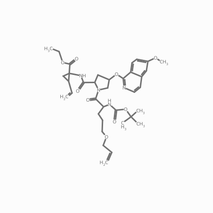 C=CCOCCCC(NC(=O)OC(C)(C)C)C(=O)N1CC(Oc2nccc3cc(OC)ccc23)CC1C(=O)NC1(C(=O)OCC)CC1C=C